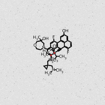 CC(C)[Si](C#Cc1c(F)ccc2cc(O)cc(-c3c(F)cc4c(N5CCOCC(C)(O)C5)nc(OCC5(CN(C)C)CC5)nc4c3F)c12)(C(C)C)C(C)C